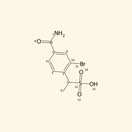 CC(c1ccc(C(N)=O)cc1Br)S(=O)(=O)O